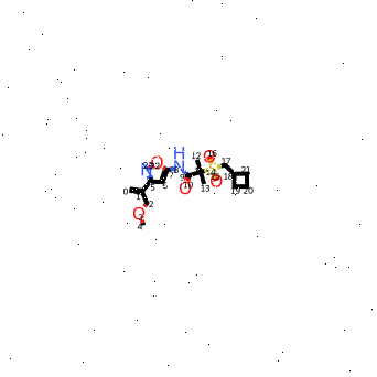 C=C(COC)c1cc(NC(=O)C(C)(C)S(=O)(=O)CC2CCC2)on1